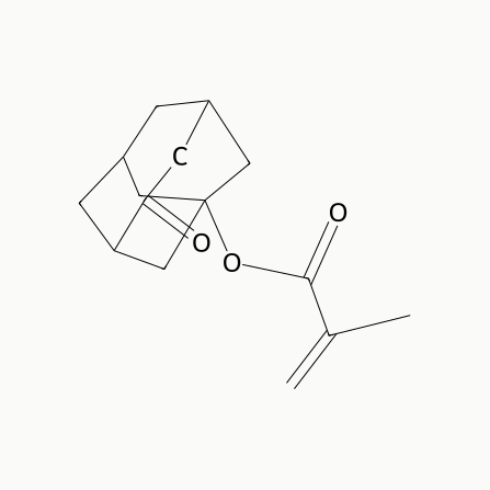 C=C(C)C(=O)OC12CC3CC(=O)C(CC(C3)C1)C2